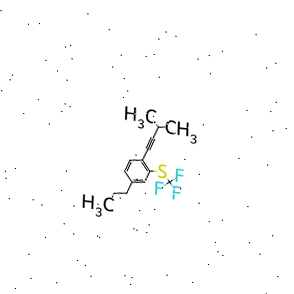 CCCc1ccc(C#CC(C)C)c(SC(F)(F)F)c1